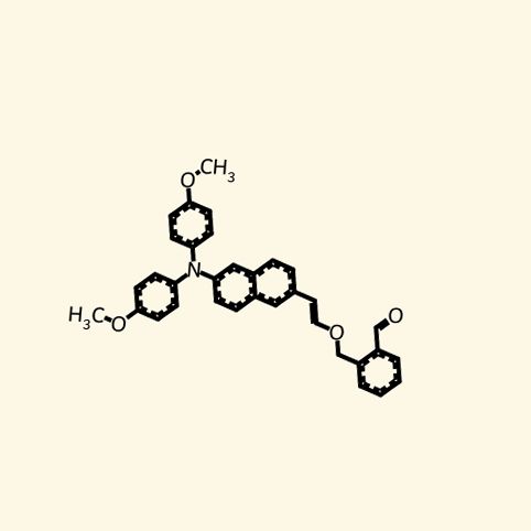 COc1ccc(N(c2ccc(OC)cc2)c2ccc3cc(C=COCc4ccccc4C=O)ccc3c2)cc1